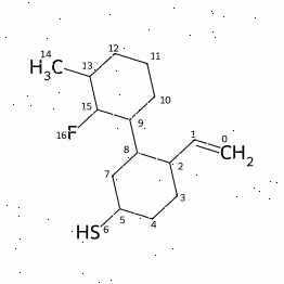 C=CC1CCC(S)CC1C1CCCC(C)C1F